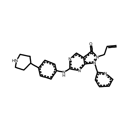 C=CCn1c(=O)c2cnc(Nc3ccc(C4CCNCC4)cc3)nc2n1-c1ccccn1